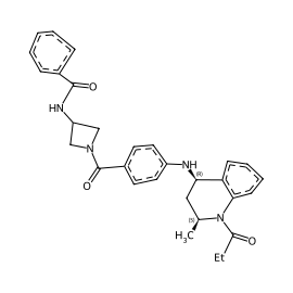 CCC(=O)N1c2ccccc2[C@H](Nc2ccc(C(=O)N3CC(NC(=O)c4ccccc4)C3)cc2)C[C@@H]1C